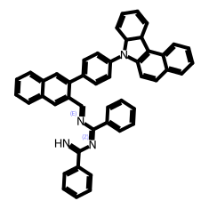 N=C(/N=C(\N=C\c1cc2ccccc2cc1-c1ccc(N2c3ccc4ccccc4c3C3C=CC=CC32)cc1)c1ccccc1)c1ccccc1